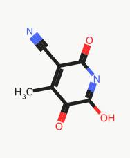 CC1=C(C#N)C(=O)N=C(O)C1=O